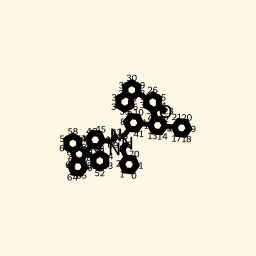 c1ccc(-c2nc(-c3cccc(-c4ccc(-c5ccccc5)c5oc6ccc(-c7cccc8ccccc78)cc6c45)c3)nc(-c3cccc(C4(c5ccccc5)c5ccccc5-c5ccccc54)c3)n2)cc1